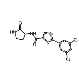 O=C(N[C@H]1CCNC1=O)c1cnc(-c2cc(Cl)cc(Cl)c2)s1